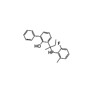 CCC(C)(Pc1c(C)cccc1F)c1cccc(-c2ccccc2)c1O